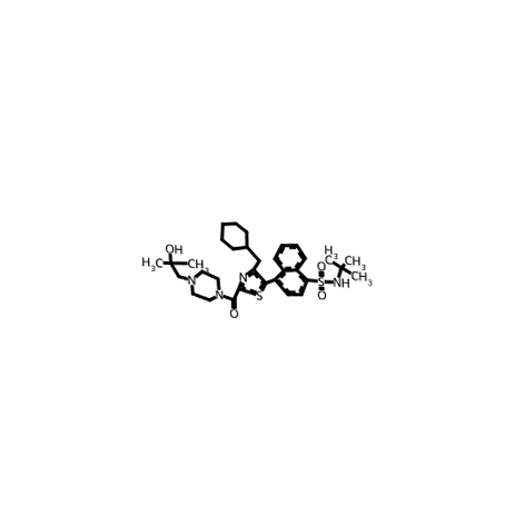 CC(C)(O)CN1CCN(C(=O)c2nc(CC3CCCCC3)c(-c3ccc(S(=O)(=O)NC(C)(C)C)c4ccccc34)s2)CC1